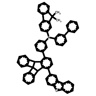 CC1(C)c2ccccc2-c2ccc(N(c3cccc(-c4ccccc4)c3)c3cccc(-c4ccc(-c5ccc6oc7ccccc7c6c5)c5c4C4c6ccccc6C46c4ccccc4C56)c3)cc21